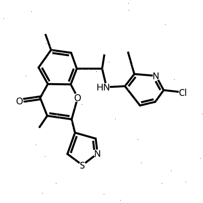 Cc1cc(C(C)Nc2ccc(Cl)nc2C)c2oc(-c3cnsc3)c(C)c(=O)c2c1